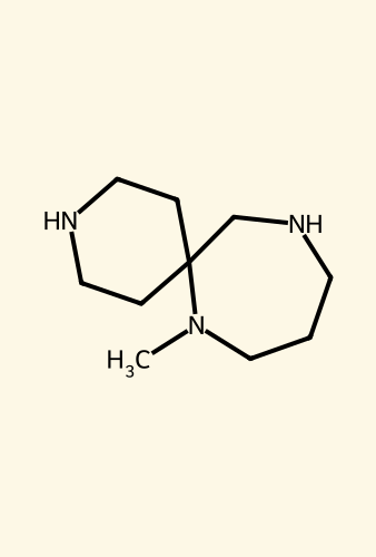 CN1CCCNCC12CCNCC2